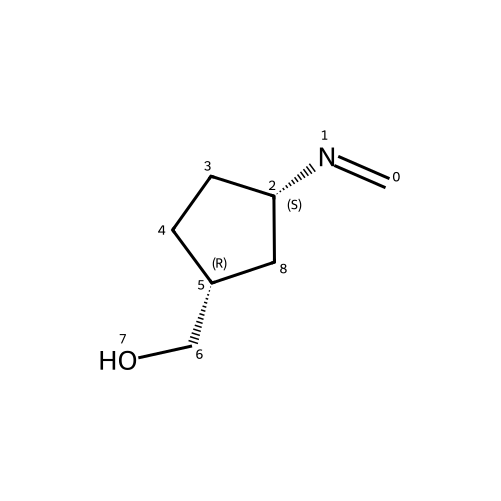 C=N[C@H]1CC[C@@H](CO)C1